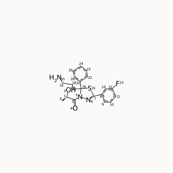 C[C@@H](O)C(=O)N1N=C(c2cccc(F)c2)SC1(CCCN)c1ccccc1